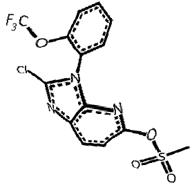 CS(=O)(=O)Oc1ccc2nc(Cl)n(-c3ccccc3OC(F)(F)F)c2n1